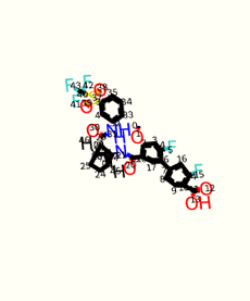 COc1cc(F)c(-c2ccc(C(=O)O)c(F)c2)cc1C(=O)N[C@@H]1[C@H]2CC[C@H](C2)[C@@H]1C(=O)Nc1cccc(S(=O)(=O)C(F)(F)F)c1